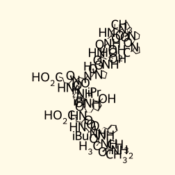 CC[C@H](C)[C@H](NC(=O)[C@H](Cc1ccccc1)NC(=O)[C@H](C)NC(=O)C(C)(C)N)C(=O)N[C@@H](CCC(=O)O)C(=O)N[C@@H](Cc1ccc(O)cc1)C(=O)N[C@@H](CC(C)C)C(=O)N[C@@H](CC(C)C)C(=O)N[C@@H](CCC(=O)O)C(=O)NCC(=O)NCC(=O)N1CCC[C@H]1C(=O)N[C@@H](CO)C(=O)N[C@@H](CO)C(=O)NCC(=O)N[C@@H](C)C(=O)N1CCC[C@H]1C(=O)N1CCC[C@H]1C(=O)N1CCC[C@H]1C(=O)O